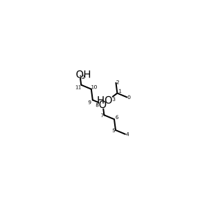 CC(C)O.CCCCOCCCO